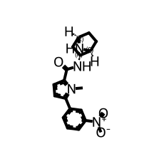 Cn1c(C(=O)N[C@@H]2C[C@H]3CC[C@@H]2N3)ccc1-c1cccc([N+](=O)[O-])c1